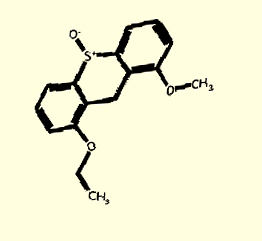 CCOc1cccc2c1Cc1c(OC)cccc1[S+]2[O-]